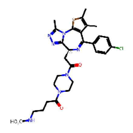 Cc1sc2c(c1C)C(c1ccc(Cl)cc1)=N[C@@H](CC(=O)N1CCN(C(=O)CCCNC(=O)O)CC1)c1nnc(C)n1-2